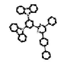 c1ccc(-c2ccc(-c3cc(-c4ccccc4)nc(-c4cc(-n5c6ccccc6c6ccccc65)cc(-n5c6ccccc6c6ccccc65)c4)n3)cc2)cc1